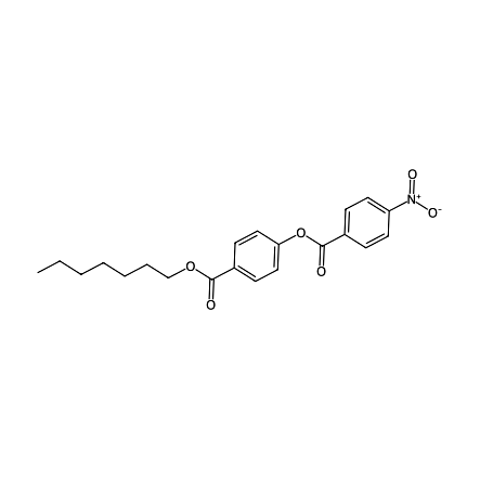 CCCCCCCOC(=O)c1ccc(OC(=O)c2ccc([N+](=O)[O-])cc2)cc1